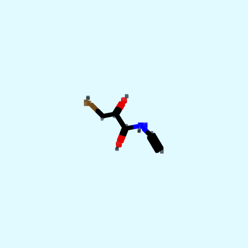 C#CNC(=O)C(=O)CBr